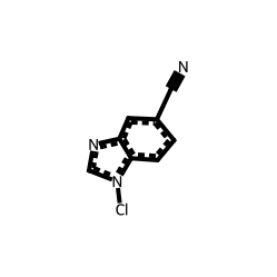 N#Cc1ccc2c(c1)ncn2Cl